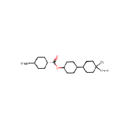 CCCCCCC[C@H]1CC[C@H](C(=O)OC2CCC(C3CCC(C#N)(CCCCC)CC3)CC2)CC1